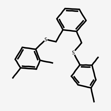 Cc1ccc(SCc2ccccc2CSc2ccc(C)cc2C)c(C)c1